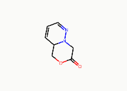 O=C1CN2N=CC=CC2CO1